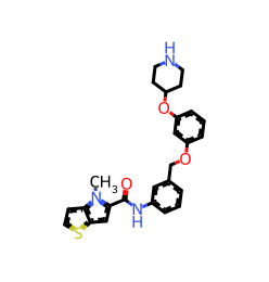 Cn1c(C(=O)Nc2cccc(COc3cccc(OC4CCNCC4)c3)c2)cc2sccc21